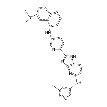 Cc1cc(Nc2ccc3[nH]c(-c4ccc(Nc5ccnc6ccc(N(C)C)cc56)cn4)nc3n2)ccn1